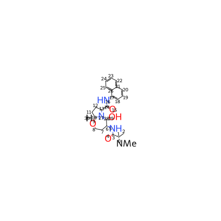 CN[C@@H](C)C(=O)N[C@H]1CCO[C@H]2CC[C@@H](C(=O)Nc3cccc4ccccc34)N2C1O